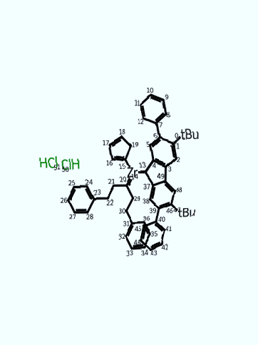 CC(C)(C)c1cc2c(cc1-c1ccccc1)[CH]([Zr]([C]1=CC=CC1)=[C](CCc1ccccc1)CCc1ccccc1)c1cc(-c3ccccc3)c(C(C)(C)C)cc1-2.Cl.Cl